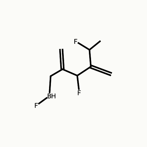 C=C(CBF)C(F)C(=C)C(C)F